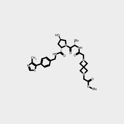 Cc1ncsc1-c1ccc(CNC(=O)[C@@H]2C[C@@H](O)CN2C(=O)[C@@H](NC(=O)CN2CC3(C2)CN(CC(=O)OC(C)(C)C)C3)C(C)(C)C)cc1